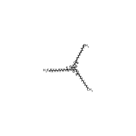 CCCCCCCCCCCCCCC(=S)OCCn1c(=O)n(CCOC(=S)CCCCCCCCCCCCCC)c(=O)n(CCOC(=S)CCCCCCCCCCCCCC)c1=O